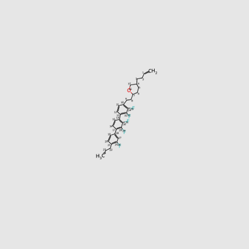 C=CCCC1CCC(CCc2ccc(-c3ccc(-c4ccc(CCC)c(F)c4)c(F)c3F)c(F)c2F)OC1